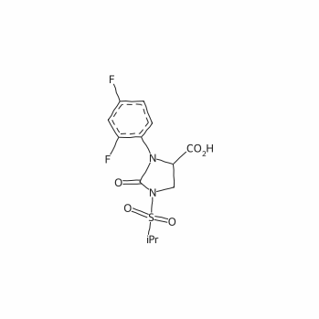 CC(C)S(=O)(=O)N1CC(C(=O)O)N(c2ccc(F)cc2F)C1=O